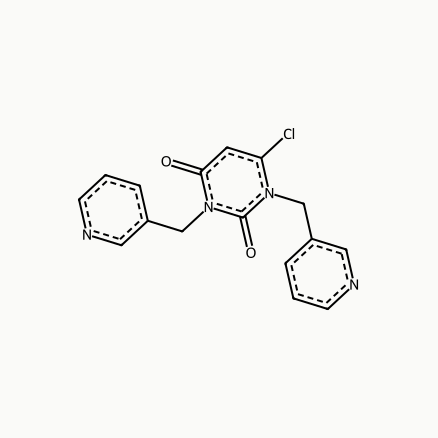 O=c1cc(Cl)n(Cc2cccnc2)c(=O)n1Cc1cccnc1